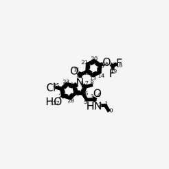 CCNC(=O)Cc1c(C)n(C(=O)c2ccc(OC(F)F)cc2)c2cc(Cl)c(O)cc12